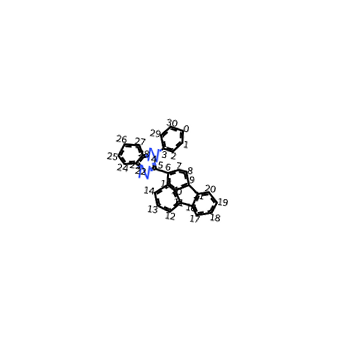 c1ccc(-n2c(-c3ccc4c5c(cccc35)-c3ccccc3-4)nc3ccccc32)cc1